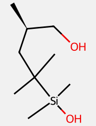 C[C@@H](CO)CC(C)(C)[Si](C)(C)O